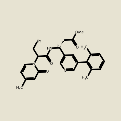 COC(=O)C[C@@H](NC(=O)C(CC(C)C)n1ccc(C)cc1=O)c1cncc(-c2c(C)cccc2C)c1